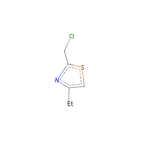 CCc1csc(CCl)n1